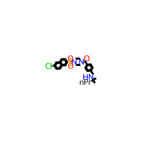 CCCC(C)(C)NCc1ccc(C(=O)N2CCN(S(=O)(=O)c3ccc4cc(Cl)ccc4c3)CC2)cc1